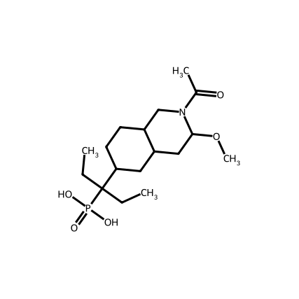 CCC(CC)(C1CCC2CN(C(C)=O)C(OC)CC2C1)P(=O)(O)O